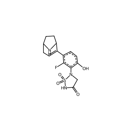 O=C1CN(c2c(O)ccc(C3=CCC4CCC3N4)c2F)S(=O)(=O)N1